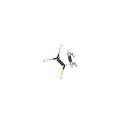 C=C.FC=C(F)F